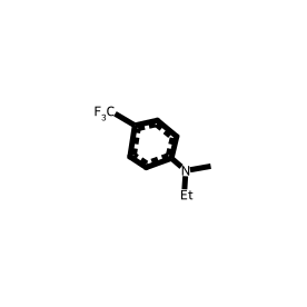 CCN(C)c1ccc(C(F)(F)F)cc1